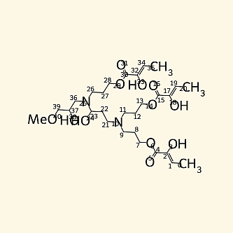 CC=C(O)C(=O)OCCCN(CCCOC(=O)C(O)=CC)CCC(O)N(CCCOC(=O)C(O)=CC)CC(O)COC